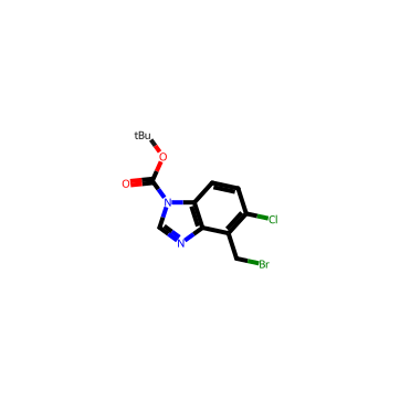 CC(C)(C)OC(=O)n1cnc2c(CBr)c(Cl)ccc21